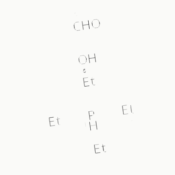 CC[PH](CC)(CC)CC.O=CO